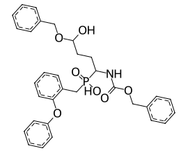 O=C(NC(CCC(O)OCc1ccccc1)P(=O)(O)Cc1ccccc1Oc1ccccc1)OCc1ccccc1